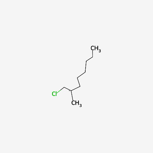 CCCCCC[C](C)CCl